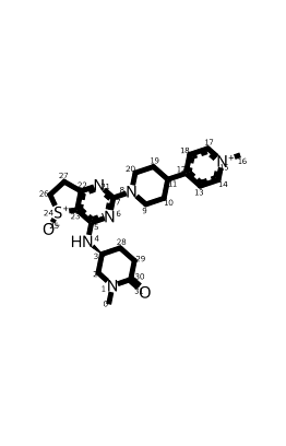 CN1C[C@@H](Nc2nc(N3CCC(c4cc[n+](C)cc4)CC3)nc3c2[S+]([O-])CC3)CCC1=O